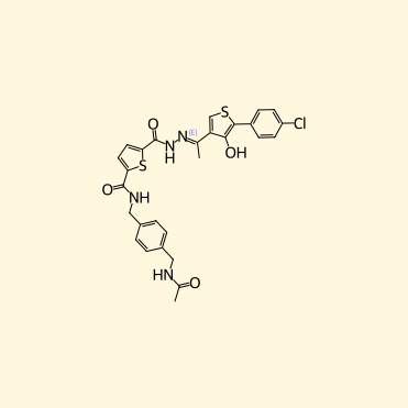 CC(=O)NCc1ccc(CNC(=O)c2ccc(C(=O)N/N=C(\C)c3csc(-c4ccc(Cl)cc4)c3O)s2)cc1